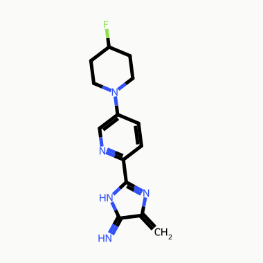 C=C1N=C(c2ccc(N3CCC(F)CC3)cn2)NC1=N